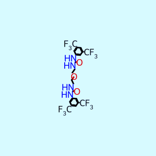 O=C(NCCOCCNC(=O)Nc1cc(C(F)(F)F)cc(C(F)(F)F)c1)Nc1cc(C(F)(F)F)cc(C(F)(F)F)c1